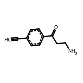 C#Cc1ccc(C(=O)CCN)cc1